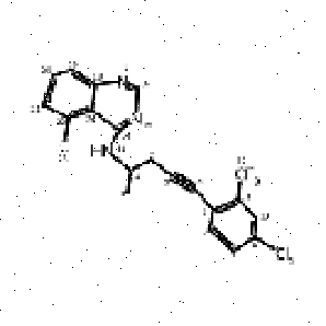 CC(CC#Cc1ccc(Cl)cc1C(F)(F)F)Nc1ncnc2cccc(Cl)c12